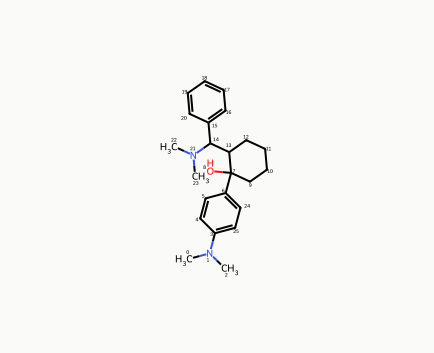 CN(C)c1ccc(C2(O)CCCCC2C(c2ccccc2)N(C)C)cc1